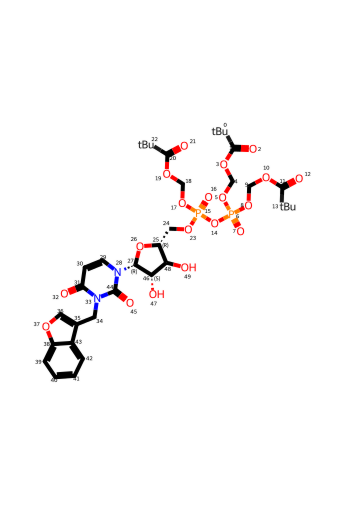 CC(C)(C)C(=O)OCOP(=O)(OCOC(=O)C(C)(C)C)OP(=O)(OCOC(=O)C(C)(C)C)OC[C@H]1O[C@@H](n2ccc(=O)n(Cc3coc4ccccc34)c2=O)[C@@H](O)C1O